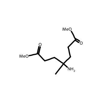 COC(=O)CCC(C)(N)CCC(=O)OC